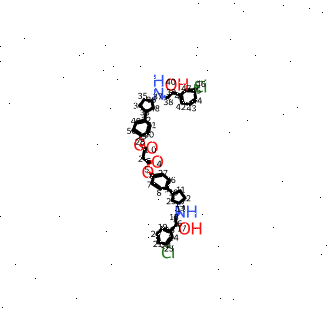 O=C(CC(=O)Oc1ccc(C2CCC(NCC(O)c3cccc(Cl)c3)C2)cc1)Oc1ccc(C2CCC(NCC(O)c3cccc(Cl)c3)C2)cc1